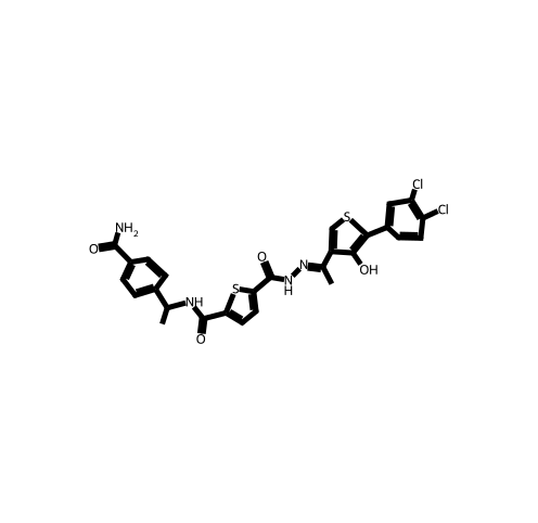 C/C(=N\NC(=O)c1ccc(C(=O)NC(C)c2ccc(C(N)=O)cc2)s1)c1csc(-c2ccc(Cl)c(Cl)c2)c1O